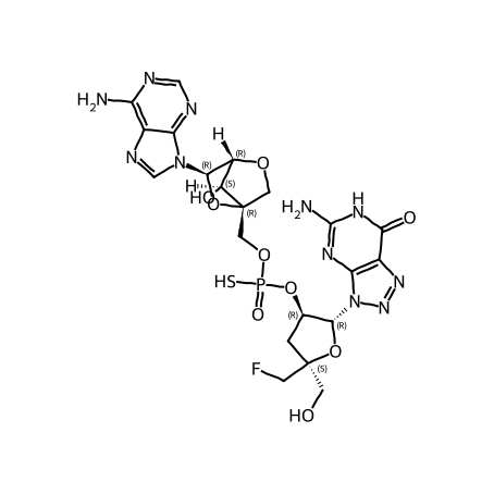 Nc1nc2c(nnn2[C@@H]2O[C@@](CO)(CF)C[C@H]2OP(=O)(S)OC[C@@]23CO[C@@H]([C@H](n4cnc5c(N)ncnc54)O2)[C@@H]3O)c(=O)[nH]1